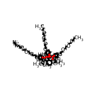 CCCOCCOCCOCCOc1ccc2c(c1)N(C(C)C)C(C1CCCCC(C3N(C(C)C)c4ccc(OCCOCCOCCOCCN=[N+]=[N-])cc4N3C(C)C)C1C1N(C(C)C)c3ccc(OCCOCCOCCOCCC)cc3N1C(C)C)N2C(C)C